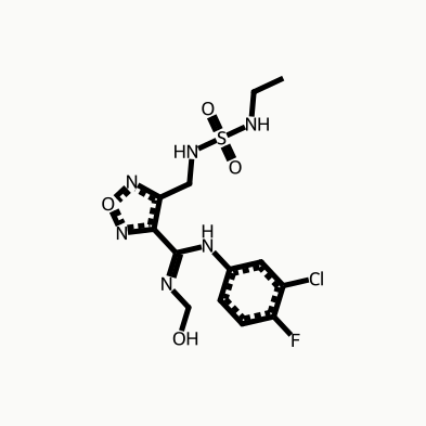 CCNS(=O)(=O)NCc1nonc1/C(=N/CO)Nc1ccc(F)c(Cl)c1